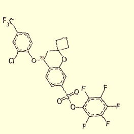 O=S(=O)(Oc1c(F)c(F)c(F)c(F)c1F)c1ccc2c(c1)OC1(CCC1)C[C@H]2Oc1ccc(C(F)(F)F)cc1Cl